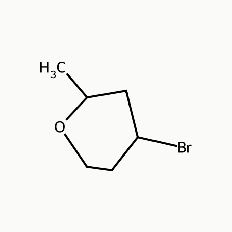 CC1CC(Br)CCO1